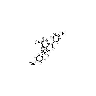 CCOc1ccc(C(=O)c2ncc(Cl)cc2NS(=O)(=O)c2ccc(C(C)(C)C)cc2)cn1